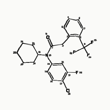 O=C(Cc1[c]cccc1C(F)(F)F)N(c1ccc(Cl)c(F)c1)C1CCCCC1